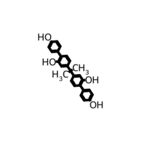 CC(C)(c1ccc(-c2ccc(O)cc2)c(O)c1)c1ccc(-c2ccc(O)cc2)c(O)c1